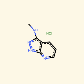 CNc1n[nH]c2ncccc12.Cl